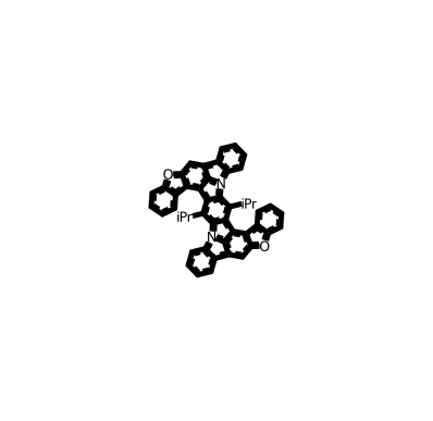 CC(C)c1c2c3c4c(cc5c6ccccc6n(c2c(C(C)C)c2c6c7c(cc8c9ccccc9n(c12)c86)oc1ccccc17)c53)oc1ccccc14